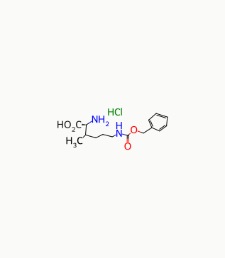 CC(CCCNC(=O)OCc1ccccc1)[C@H](N)C(=O)O.Cl